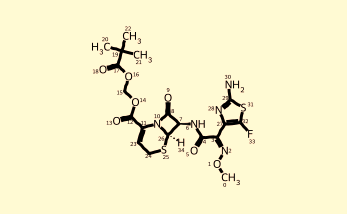 CO/N=C(\C(=O)N[C@@H]1C(=O)N2C(C(=O)OCOC(=O)C(C)(C)C)=CCS[C@H]12)c1nc(N)sc1F